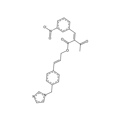 CC(=O)C(=Cc1cccc([N+](=O)[O-])c1)C(=O)OCC=Cc1ccc(Cn2ccnc2)cc1